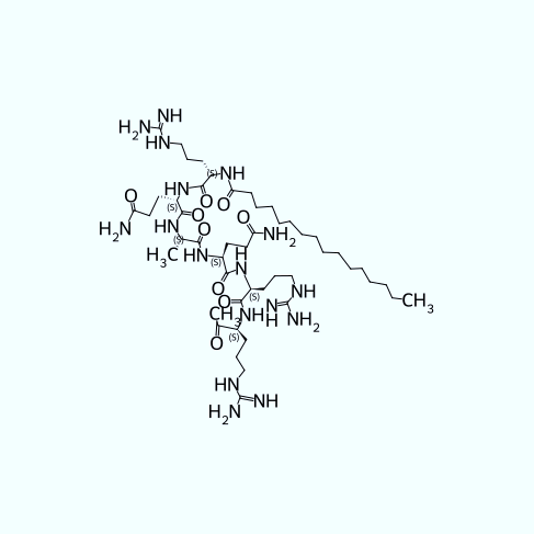 CCCCCCCCCCCCCCCC(=O)N[C@@H](CCCNC(=N)N)C(=O)N[C@@H](CCC(N)=O)C(=O)N[C@@H](C)C(=O)N[C@@H](CCC(N)=O)C(=O)N[C@@H](CCCNC(=N)N)C(=O)N[C@@H](CCCNC(=N)N)C(C)=O